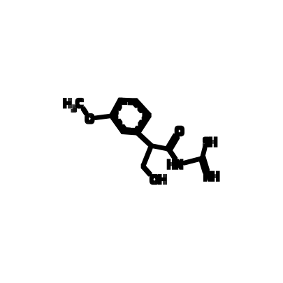 COc1cccc(C(CO)C(=O)NC(=N)S)c1